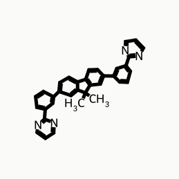 CC1(C)c2cc(-c3cccc(-c4ncccn4)c3)ccc2-c2ccc(-c3cccc(-c4ncccn4)c3)cc21